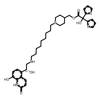 O=C(OCC1CCN(CCCCCCCCCNC[C@H](O)c2ccc(O)c3[nH]c(=O)ccc23)CC1)C(O)(c1cccs1)c1cccs1